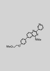 CNc1nc(-c2cccnc2)nc2ccc(-c3ccc(OCCOC)cc3)cc12